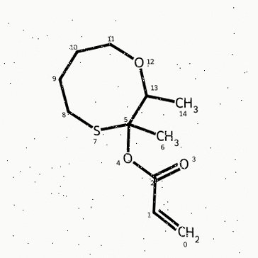 C=CC(=O)OC1(C)SCCCCOC1C